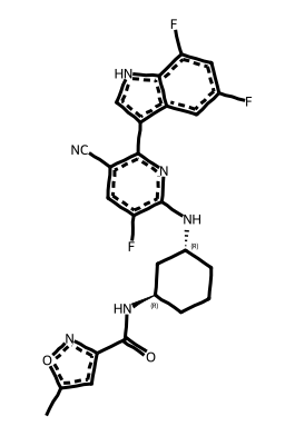 Cc1cc(C(=O)N[C@@H]2CCC[C@@H](Nc3nc(-c4c[nH]c5c(F)cc(F)cc45)c(C#N)cc3F)C2)no1